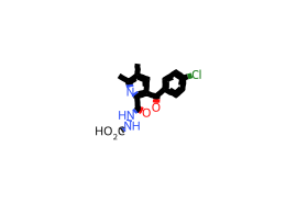 Cc1cc(C(=O)c2ccc(Cl)cc2)c(C(=O)NNC(=O)O)nc1C